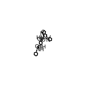 Cc1cccnc1-c1cc2cccnc2c(NS(=O)(=O)c2ccc(NC(=O)NCc3ccccc3)cc2)n1